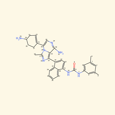 Cc1cc(C)cc(NC(=O)Nc2ccc(-c3nc(C)n4c(C5=CCC(N)CC5)cnc(N)c34)c3ccccc23)c1